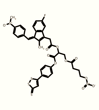 CC1=C(CC(=O)OC(COC(=O)CCCO[N+](=O)[O-])C(=O)Oc2ccc(-c3cc(=S)ss3)cc2)c2cc(F)ccc2/C1=C\c1ccc([S+](C)[O-])cc1